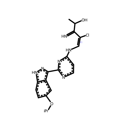 CC(C)Oc1ccc2[nH]nc(-c3nccc(N/C=C(/Cl)C(=N)C(C)O)n3)c2c1